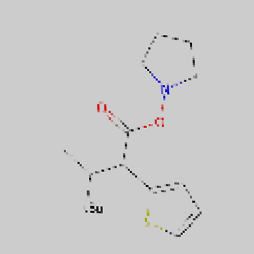 CC(C(C(=O)ON1CCCC1)c1cccs1)C(C)(C)C